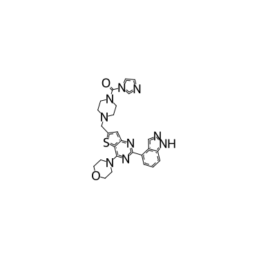 O=C(N1CCN(Cc2cc3nc(-c4cccc5[nH]ncc45)nc(N4CCOCC4)c3s2)CC1)n1ccnc1